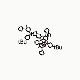 Cc1ccc(N(c2ccc(C(C)(C)C)cc2)c2ccc3cc4c(cc3c2)C2(c3ccccc3-c3ccccc32)c2c(N(c3ccc(C(C)(C)C)cc3)c3ccc(C)c(-c5ccccc5)c3)cc3oc5ccccc5c3c2-4)cc1-c1ccccc1